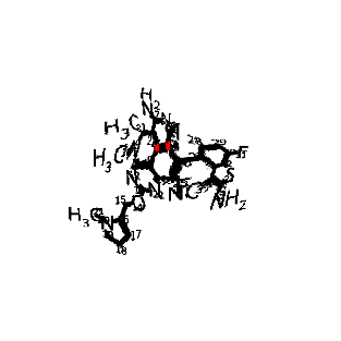 C[C@H](c1cccnc1N)N(C)c1nc(OCC2=CCCN2C)nc2c(F)c(-c3ccc(F)c4sc(N)c(C#N)c34)c(Cl)cc12